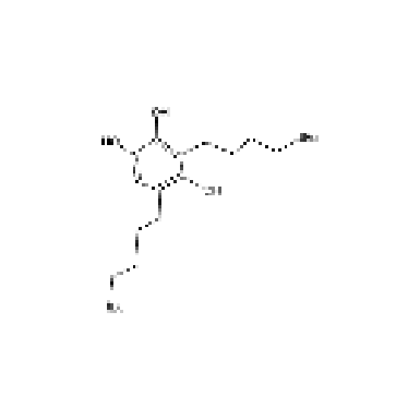 CC(C)(C)CCCCc1cc(O)c(O)c(CCCCC(C)(C)C)c1O